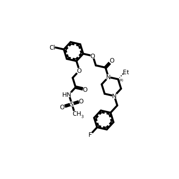 CC[C@@H]1CN(Cc2ccc(F)cc2)CCN1C(=O)COc1ccc(Cl)cc1OCC(=O)NS(C)(=O)=O